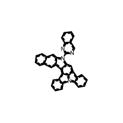 c1ccc2cc3c(cc2c1)c1c2c4ccccc4n4c5ccccc5c(cc1n3-c1ncc3ccccc3n1)c24